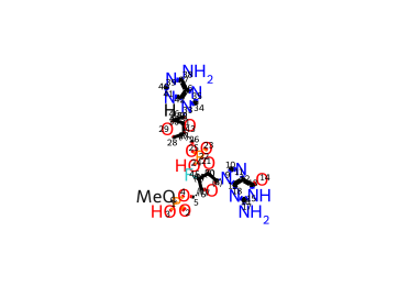 COP(=O)(O)OC[C@H]1O[C@@H](n2cnc3c(=O)[nH]c(N)nc32)[C@H](OP(=O)(O)OC[C@]23CO[C@H](C2)[C@H](n2cnc4c(N)ncnc42)O3)[C@@H]1F